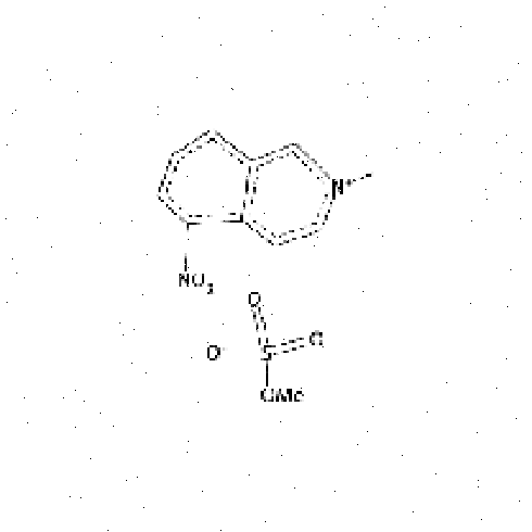 COS(=O)(=O)[O-].C[n+]1ccc2c([N+](=O)[O-])cccc2c1